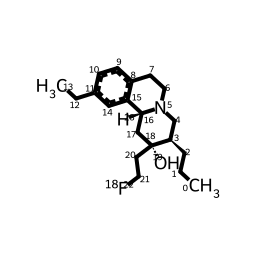 CCC[C@@H]1CN2CCc3ccc(CC)cc3[C@H]2C[C@]1(O)CC[18F]